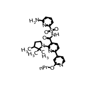 CCCOc1cc(-c2ccc(C(=O)NS(=O)(=O)c3cccc(N)n3)c(N3CCC(C)C3(C)C)n2)ccn1